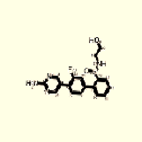 Nc1ncc(-c2ccc(-c3ccccc3[S+]([O-])NCCO)cc2F)cn1